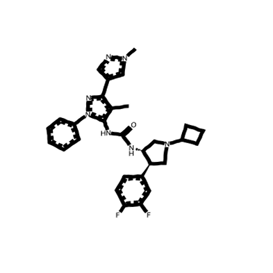 Cc1c(-c2cnn(C)c2)nn(-c2ccccc2)c1NC(=O)N[C@@H]1CN(C2CCC2)C[C@H]1c1ccc(F)c(F)c1